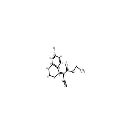 CCOC(=O)C(C#N)=C1CCCc2cc(F)ccc21